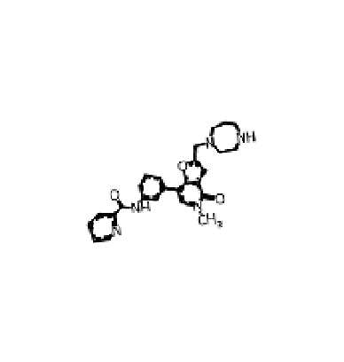 Cn1cc(-c2cccc(NC(=O)c3ccccn3)c2)c2oc(CN3CCCNCC3)cc2c1=O